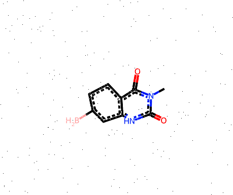 Bc1ccc2c(=O)n(C)c(=O)[nH]c2c1